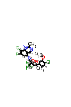 COc1cc(C(C)(C)CC(O)(C=Nc2cc(F)c(F)c3nc(C)ncc23)C(F)(F)F)ccc1Cl